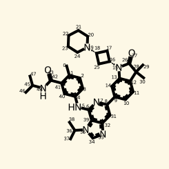 Cc1ccc(Nc2nc(-c3ccc4c(c3)N([C@H]3C[C@@H](N5CCCCC5)C3)C(=O)C4(C)C)cc3ncn(C(C)C)c23)cc1C(=O)NC(C)C